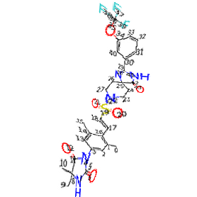 Cc1cc(N2C(=O)NC(C)(C)C2=O)cc(C)c1C=CS(=O)(=O)N1CCC2(CC1)N=C(c1cccc(OC(F)(F)F)c1)NC2=O